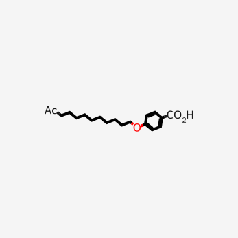 CC(=O)CCCCCCCCCCOc1ccc(C(=O)O)cc1